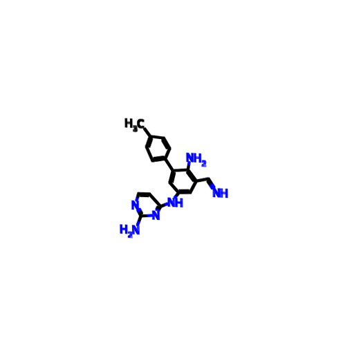 Cc1ccc(-c2cc(Nc3ccnc(N)n3)cc(C=N)c2N)cc1